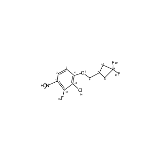 Nc1ccc(OCC2CC(F)(F)C2)c(Cl)c1F